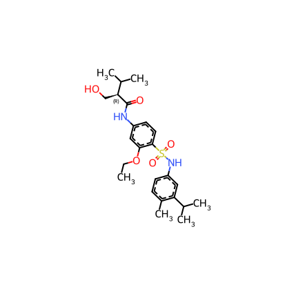 CCOc1cc(NC(=O)[C@@H](CO)C(C)C)ccc1S(=O)(=O)Nc1ccc(C)c(C(C)C)c1